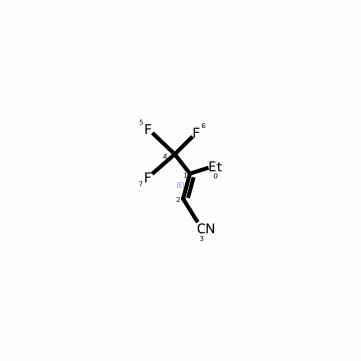 CC/C(=C\C#N)C(F)(F)F